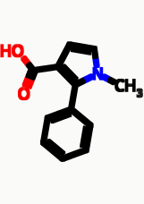 Cn1ccc(C(=O)O)c1-c1ccccc1